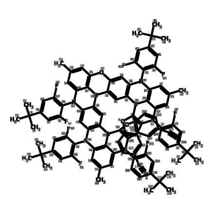 [C-]#[N+]c1ccc2oc3c(c2c1)N(c1ccc(C(C)(C)C)cc1F)c1cc(C)cc2c1B3c1cc3c(cc1N2c1c(F)cc(C(C)(C)C)cc1F)Oc1cc(C)cc2c1B3c1cc3c(cc1N2c1c(F)cc(C(C)(C)C)cc1F)N(c1c(F)cc(C(C)(C)C)cc1F)c1cc(C)cc2c1B3c1oc3ccc(C#N)cc3c1N2c1ccc(C(C)(C)C)cc1F